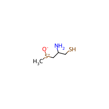 C[S+]([O-])CC(N)CS